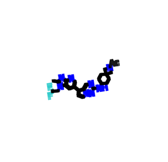 CC(=O)N1CC2(CCC(Nc3ncc4c(-c5cnc6nc(C)n(CC(F)F)c6c5)ccn4n3)CC2)C1